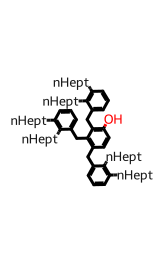 CCCCCCCc1cccc(Cc2ccc(O)c(Cc3cccc(CCCCCCC)c3CCCCCCC)c2Cc2cccc(CCCCCCC)c2CCCCCCC)c1CCCCCCC